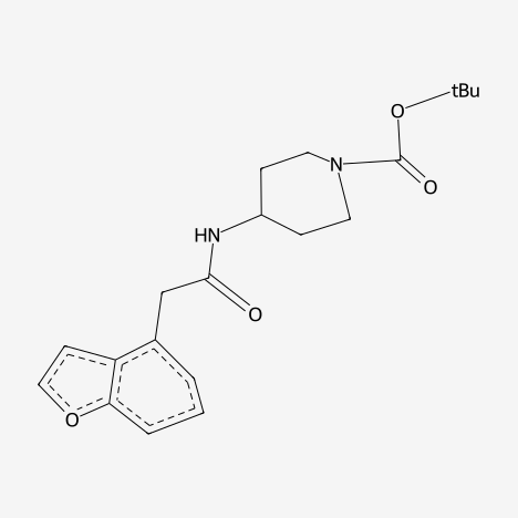 CC(C)(C)OC(=O)N1CCC(NC(=O)Cc2cccc3occc23)CC1